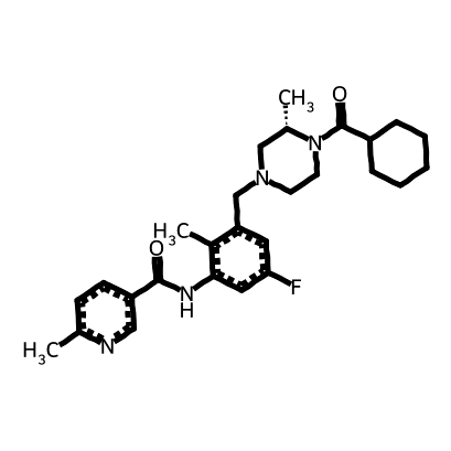 Cc1ccc(C(=O)Nc2cc(F)cc(CN3CCN(C(=O)C4CCCCC4)[C@@H](C)C3)c2C)cn1